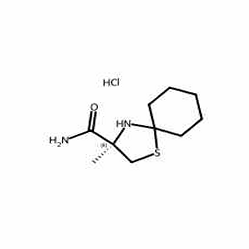 C[C@@]1(C(N)=O)CSC2(CCCCC2)N1.Cl